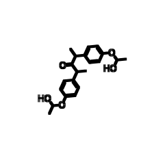 CC(O)Oc1ccc(C(C)C(=O)C(C)c2ccc(OC(C)O)cc2)cc1